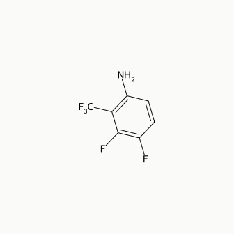 Nc1ccc(F)c(F)c1C(F)(F)F